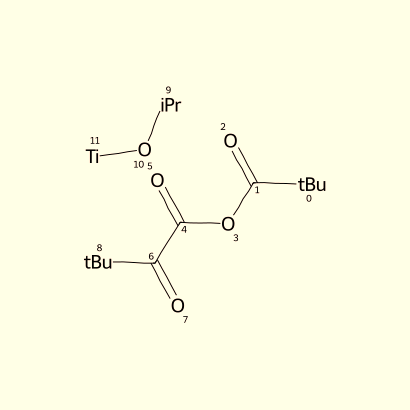 CC(C)(C)C(=O)OC(=O)C(=O)C(C)(C)C.CC(C)[O][Ti]